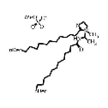 CCCCCCCCCCCCCCCCCCCCCC(=O)NC(C)[N+]1(C)CCN=C1CCCCCCCCCCCCCCCCCCCCC.COS(=O)(=O)[O-]